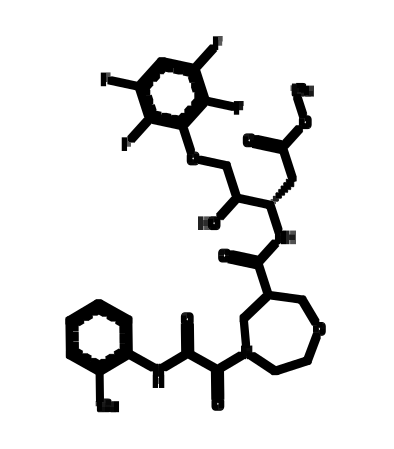 CC(C)(C)OC(=O)C[C@H](NC(=O)C1COCCN(C(=O)C(=O)Nc2ccccc2C(C)(C)C)C1)C(O)COc1c(F)c(F)cc(F)c1F